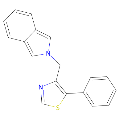 c1ccc(-c2scnc2Cn2cc3ccccc3c2)cc1